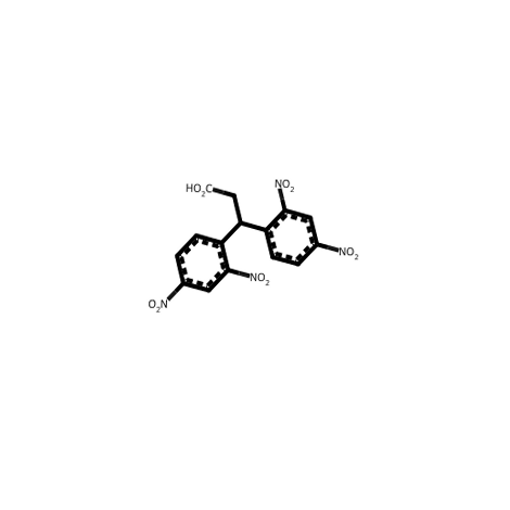 O=C(O)CC(c1ccc([N+](=O)[O-])cc1[N+](=O)[O-])c1ccc([N+](=O)[O-])cc1[N+](=O)[O-]